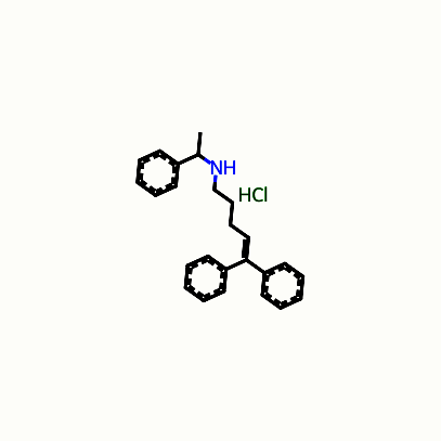 CC(NCCCC=C(c1ccccc1)c1ccccc1)c1ccccc1.Cl